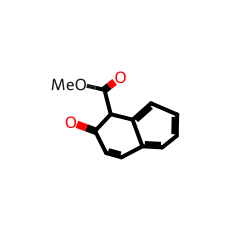 COC(=O)C1C(=O)C=Cc2ccccc21